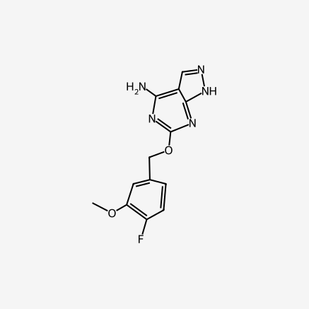 COc1cc(COc2nc(N)c3cn[nH]c3n2)ccc1F